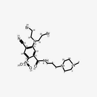 CN1CCN(CCCNC(=O)c2cc(N(CCBr)CCBr)c(C#N)cc2[N+](=O)[O-])CC1